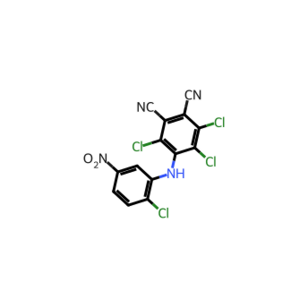 N#Cc1c(Cl)c(Cl)c(Nc2cc([N+](=O)[O-])ccc2Cl)c(Cl)c1C#N